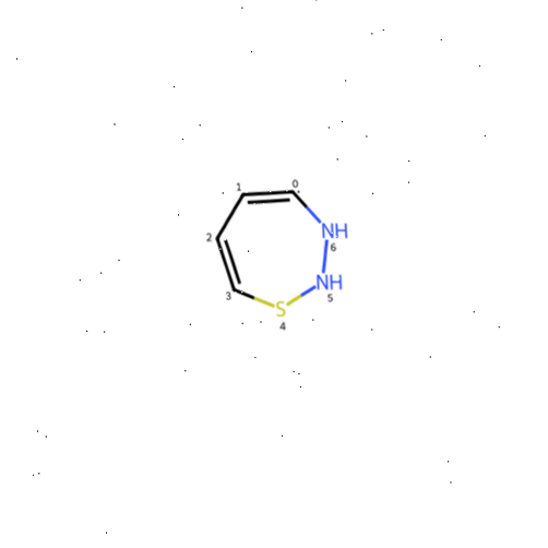 [c]1cccs[nH][nH]1